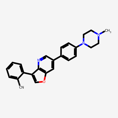 CN1CCN(c2ccc(-c3cnc4c(-c5ccccc5C#N)coc4c3)cc2)CC1